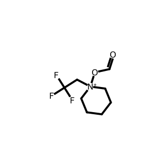 O=CO[N+]1(CC(F)(F)F)CCCCC1